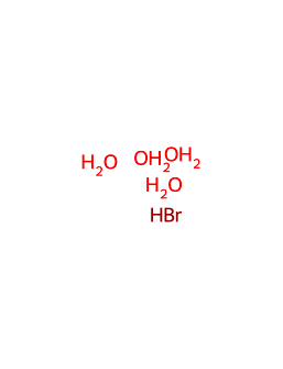 Br.O.O.O.O